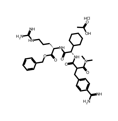 CC(=O)O.CN(C)C(=O)C(Cc1ccc(C(=N)N)cc1)C(=O)N[C@H](C(=O)N[C@@H](CCCNC(=N)N)C(=O)OCc1ccccc1)C1CCCCC1.Cl